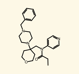 CCC(=O)N(CC1(N2CCN(Cc3ccccc3)CC2)CCOCC1)c1ccncc1